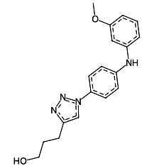 COc1cccc(Nc2ccc(-n3cc(CCCO)nn3)cc2)c1